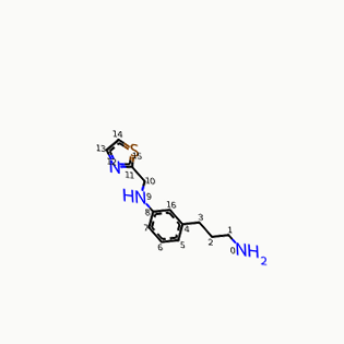 NCCCc1cccc(NCc2nccs2)c1